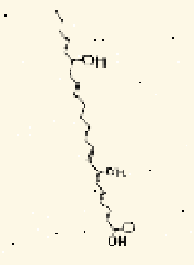 CCCCCC(O)CCCCCCCC=CC(O)=CC=CC=CC(=O)O